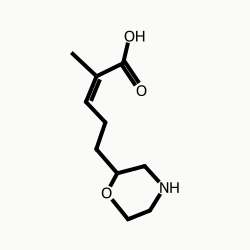 CC(=CCCC1CNCCO1)C(=O)O